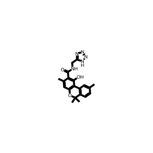 Cc1ccc2c(c1)-c1c(cc(C)c(C(=O)NCc3nnn[nH]3)c1O)OC2(C)C